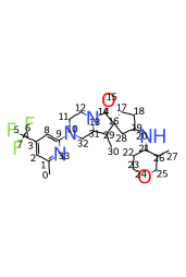 Cc1cc(C(F)(F)F)cc(N2CCN3C(=O)[C@]4(CC[C@@H](NC5CCOCC5C)C4)C(C)C3C2)n1